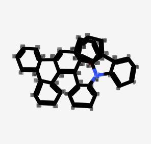 c1ccc(-n2c3ccccc3c3ccccc32)c(-c2c3ccccc3cc3c4ccccc4c4ccccc4c23)c1